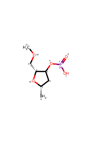 B[C@H]1CC(O[PH](=O)O)[C@@H](COC)O1